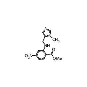 COC(=O)c1ccc([N+](=O)[O-])cc1NCc1cncn1C